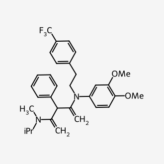 C=C(C(C(=C)N(C)C(C)C)c1ccccc1)N(CCc1ccc(C(F)(F)F)cc1)c1ccc(OC)c(OC)c1